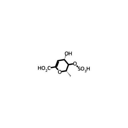 C[C@@H]1OC(C(=O)O)=C[C@H](O)C1OS(=O)(=O)O